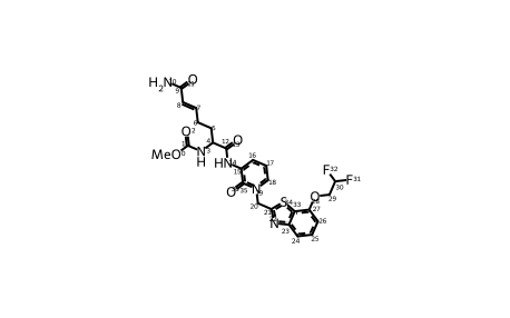 COC(=O)NC(CCC=CC(N)=O)C(=O)Nc1cccn(Cc2nc3cccc(OCC(F)F)c3s2)c1=O